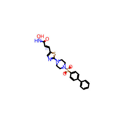 O=C(/C=C/c1cnc(N2CCN(S(=O)(=O)c3ccc(-c4ccccc4)cc3)CC2)s1)NO